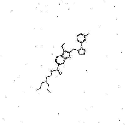 CCCN(CCC)CCNC(=O)c1ccc2c(c1)nc(Cc1ccnn1-c1cccc(F)c1)n2CC